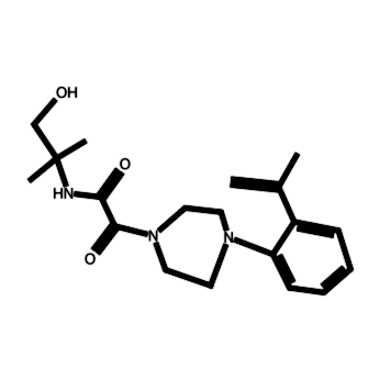 C=C(C)c1ccccc1N1CCN(C(=O)C(=O)NC(C)(C)CO)CC1